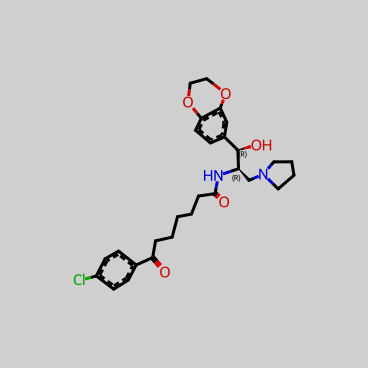 O=C(CCCCCC(=O)c1ccc(Cl)cc1)N[C@H](CN1CCCC1)[C@H](O)c1ccc2c(c1)OCCO2